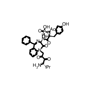 CC(=O)N([C@@H](Cc1ccc(O)cc1)C(=O)N[C@@H]1N=C(c2ccccc2)c2ccccc2N(CC(=O)C(=O)[C@@H](N)C(C)C)C1=O)P(=O)(O)O